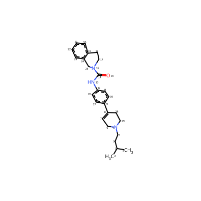 CC(C)CCN1CC=C(c2ccc(NC(=O)N3CCc4ccccc4C3)cc2)CC1